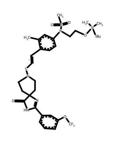 Cc1cc(N(CCO[Si](C)(C)C(C)(C)C)S(C)(=O)=O)ccc1/C=C/SN1CCC2(CC1)N=C(c1cccc(OC(F)(F)F)c1)NC2=O